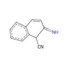 N#CC1C(=N)C=Cc2ccccc21